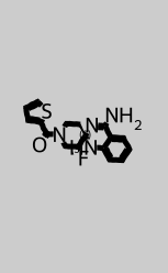 NC1=N[C@]2(CCN(C(=O)c3cccs3)C[C@@H]2F)Nc2ccccc21